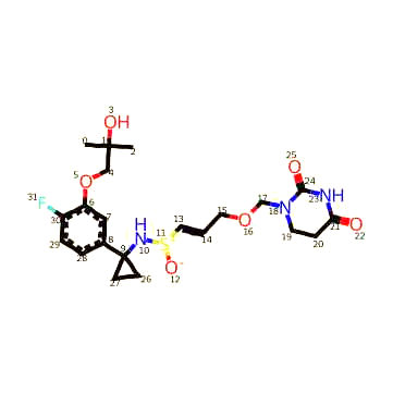 CC(C)(O)COc1cc(C2(N[S+]([O-])/C=C/COCN3CCC(=O)NC3=O)CC2)ccc1F